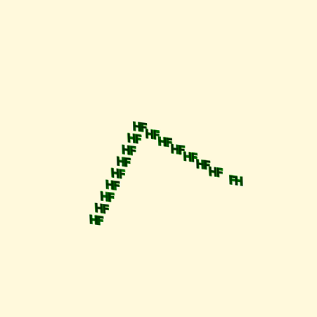 F.F.F.F.F.F.F.F.F.F.F.F.F.F.F.F